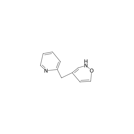 C1=CC(Cc2ccccn2)=CNO1